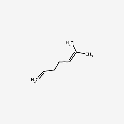 C=CCCC=C(C)C